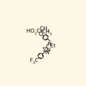 CCN(Cc1ccc(OC(C)(C)C(=O)O)cc1)Cc1nnc(-c2ccc(C(F)(F)F)cc2)s1